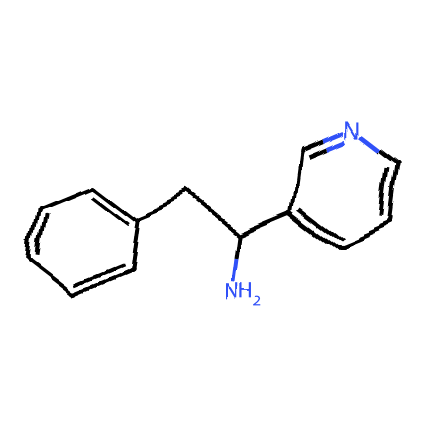 NC(Cc1ccccc1)c1cccnc1